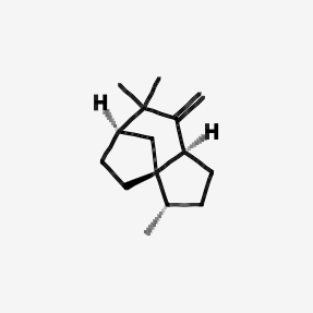 C=C1[C@H]2CC[C@H](C)[C@@]23CC[C@H](C3)C1(C)C